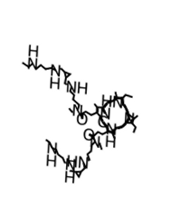 CCNCCCCNCC1CC1CNCCCCN(CC)C(=O)CCC1=C(C)c2cc3[nH]c(cc4nc(cc5[nH]c(cc1n2)c(CCC(=O)N(CC)CCCCNCC1CC1CNCCCCNCC)c5C)C(CC)=C4C)c(CC)c3C